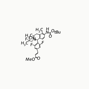 COC(=O)/C=C/c1cc(F)c(C2c3ccc(NC(=O)OC(C)(C)C)c(C)c3CC(C)N2CC(C)(C)F)c(F)c1